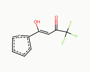 O=C(/C=C(\O)c1ccccc1)C(F)(F)F